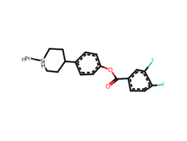 CCC[SiH]1CCC(c2ccc(OC(=O)c3ccc(F)c(F)c3)cc2)CC1